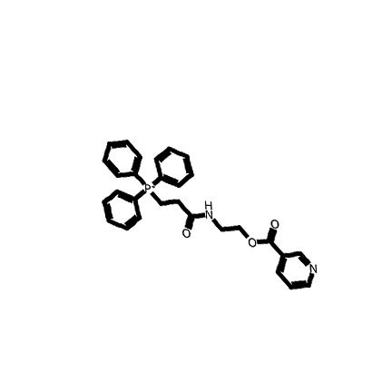 O=C(CC[P+](c1ccccc1)(c1ccccc1)c1ccccc1)NCCOC(=O)c1cccnc1